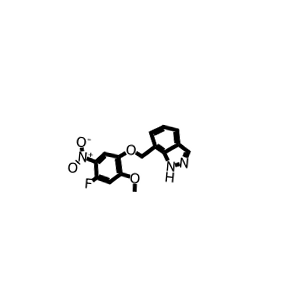 COc1cc(F)c([N+](=O)[O-])cc1OCc1cccc2cn[nH]c12